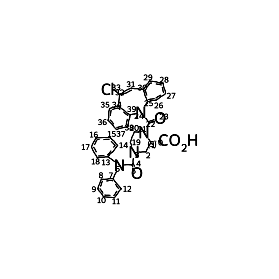 O=C(O)[C@@H]1CN(C(=O)N(c2ccccc2)c2ccccc2)CCN1C(=O)N1c2ccccc2C=C(Cl)c2ccccc21